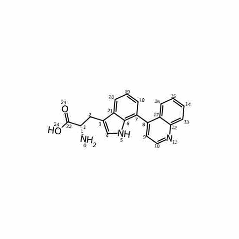 N[C@@H](Cc1c[nH]c2c(-c3ccnc4ccccc34)cccc12)C(=O)O